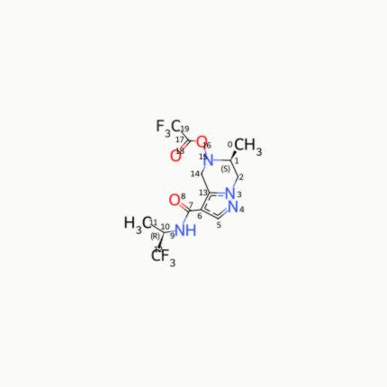 C[C@H]1Cn2ncc(C(=O)N[C@H](C)C(F)(F)F)c2CN1OC(=O)C(F)(F)F